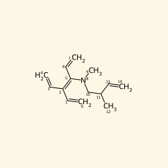 C=CC(C=C)=C(C=C)N(C)CC(C)C=C